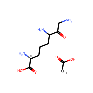 CC(=O)O.NCC(=O)C(N)CCC[C@H](N)C(=O)O